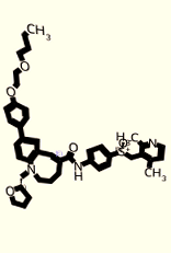 CCCCOCCOc1ccc(-c2ccc3c(c2)/C=C(/C(=O)Nc2ccc([S@@+]([O-])Cc4c(C)ccnc4C)cc2)CCCN3C[C@@H]2CCCO2)cc1